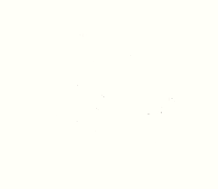 CCC[C@H](NN(C(=O)c1cc(C)cc(C)c1)C(=O)c1cc(OC)c(C)c(OC)c1)C(C)(C)C